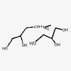 COC.OCC(O)CO.OCC(O)CO